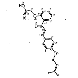 CC(C)=CCOc1ccc(/C=C/C(=O)c2ccccc2OCC(=O)O)cc1